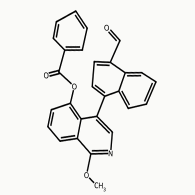 COc1ncc(-c2ccc(C=O)c3ccccc23)c2c(OC(=O)c3ccccc3)cccc12